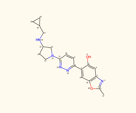 Cc1nc2cc(O)c(-c3ccc(N4CCC(NCC5CC5)C4)nn3)cc2o1